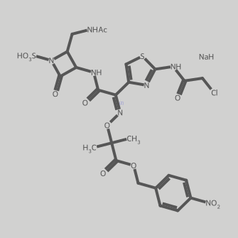 CC(=O)NCC1C(NC(=O)/C(=N\OC(C)(C)C(=O)OCc2ccc([N+](=O)[O-])cc2)c2csc(NC(=O)CCl)n2)C(=O)N1S(=O)(=O)O.[NaH]